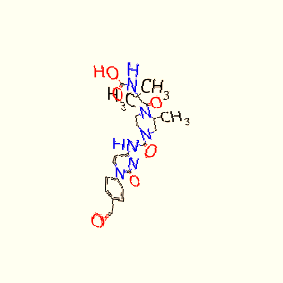 CC1CN(C(=O)Nc2ccn(-c3ccc(C=O)cc3)c(=O)n2)CCN1C(=O)C(C)(C)NC(=O)O